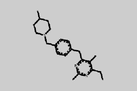 CCc1nc(C)nc(Cc2ccc(CN3CCC(C)CC3)cc2)c1C